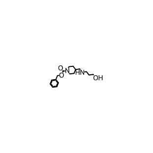 O=C(OCc1ccccc1)N1CCC(CNCCCO)CC1